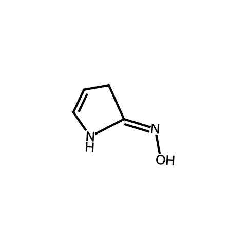 ON=C1CC=CN1